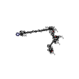 COc1cc2c(cc1OCCCCCOc1cc3c(cc1OC)C(=O)N1C=C(C)C[C@H]1[C@H](O)N3C(=O)OCc1ccc(NC(=O)[C@H](C)NC(=O)[C@@H](NC(=O)CCOCCOCCOCCOCCOCCOCCOCCOCCNC(=O)CCN3C(=O)CC(C4=C/C=C\C=C/C=C\4)C3OC)C(C)C)cc1)N=C[C@@H]1CC(C)=CN1C2=O